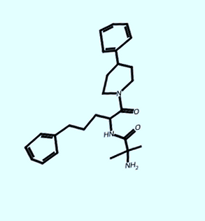 CC(C)(N)C(=O)NC(CCCc1ccccc1)C(=O)N1CCC(c2ccccc2)CC1